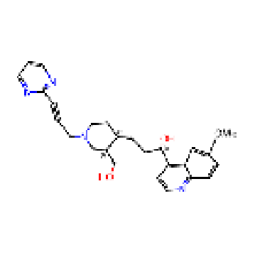 COc1ccc2nccc([C@@H](O)CC[C@@H]3CCN(CC#Cc4ncccn4)C[C@@H]3CO)c2c1